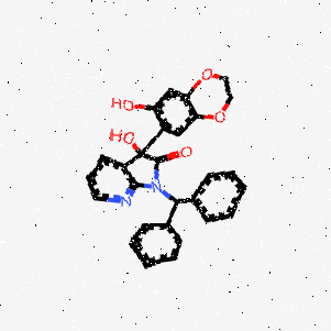 O=C1N(C(c2ccccc2)c2ccccc2)c2ncccc2C1(O)c1cc2c(cc1O)OCCO2